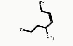 CC(C)C/C=C\[C@@H](C)CCCl